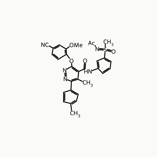 COc1cc(C#N)ccc1Oc1nnc(-c2ccc(C)cc2)c(C)c1C(=O)Nc1cccc(S(C)(=O)=NC(C)=O)c1